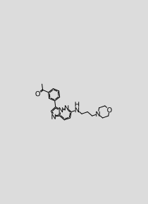 CC(=O)c1cccc(-c2cnc3ccc(NCCCN4CCOCC4)nn23)c1